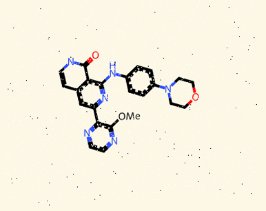 COc1nccnc1-c1cc2c(c(Nc3ccc(N4CCOCC4)cc3)n1)C(=O)[N]C=C2